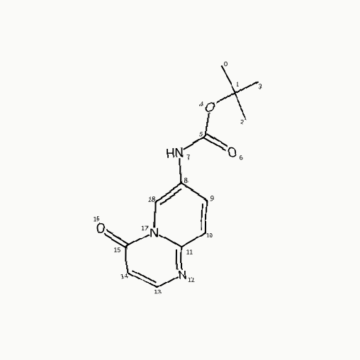 CC(C)(C)OC(=O)Nc1ccc2nccc(=O)n2c1